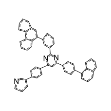 c1cncc(-c2ccc(-c3cc(-c4ccc(-c5cccc6ccccc56)cc4)nc(-c4cccc(-c5cc6ccccc6c6ccccc56)c4)n3)cc2)c1